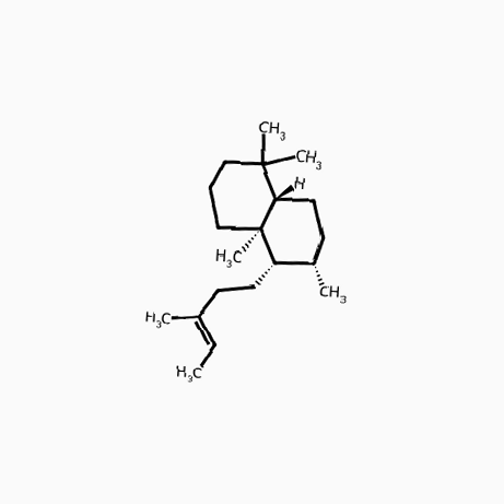 CC=C(C)CC[C@H]1[C@@H](C)CC[C@H]2C(C)(C)CCC[C@]12C